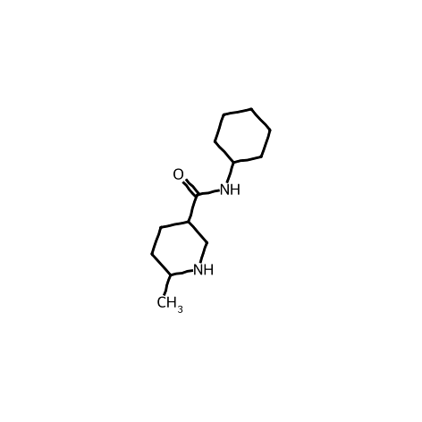 CC1CCC(C(=O)NC2CCCCC2)CN1